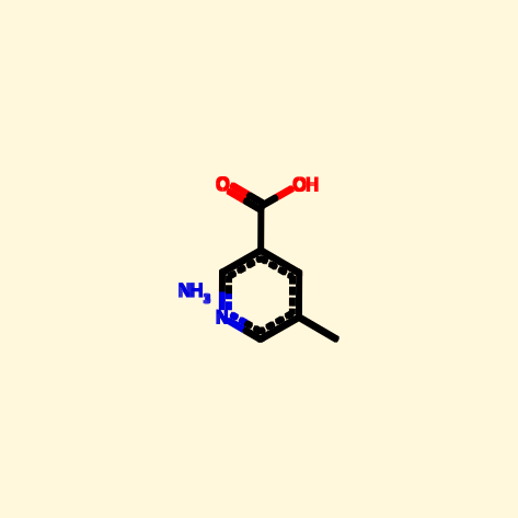 Cc1cncc(C(=O)O)c1.N